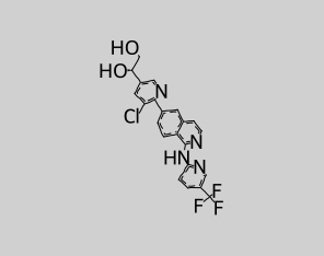 OC[C@H](O)c1cnc(-c2ccc3c(Nc4ccc(C(F)(F)F)cn4)nccc3c2)c(Cl)c1